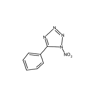 O=[N+]([O-])n1nnnc1-c1ccccc1